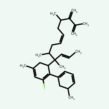 C=C(C)C(=C)C(C)C/C=C\CC(C)C(C)(C=CC)C1CC(C)=CC(F)=C1C1=CC=CC(C)C1